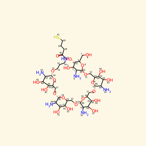 NC1C(O)[C@H](O)C(CO)O[C@H]1OCC1O[C@@H](OCC2O[C@@H](OCC3O[C@@H](OCC4O[C@@H](OCCCNC(=O)CCCS)C(N)C(O)[C@@H]4O)C(N)C(O)[C@@H]3O)C(N)C(O)[C@@H]2O)C(N)C(O)[C@@H]1O